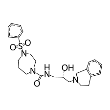 O=C(NC[C@H](O)CN1CCc2ccccc2C1)N1CCCN(S(=O)(=O)c2ccccc2)CC1